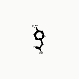 CCC(=O)Cc1ccc(C(F)(F)F)cc1